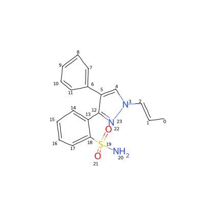 CC=Cn1cc(-c2ccccc2)c(-c2ccccc2S(N)(=O)=O)n1